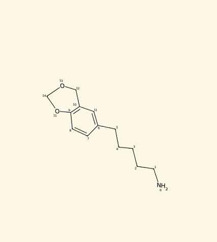 NCCCCCc1ccc2c(c1)COCO2